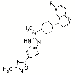 Cc1noc(-c2ccc3nc([C@H](C)[C@H]4CC[C@@H](c5ccnc6ccc(F)cc65)CC4)[nH]c3c2)n1